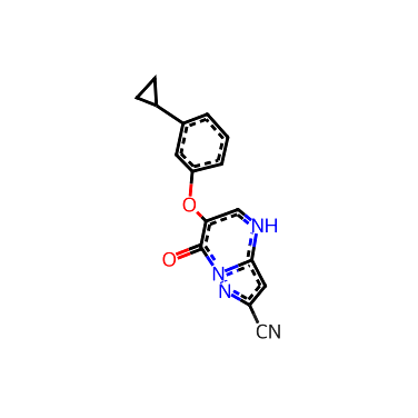 N#Cc1cc2[nH]cc(Oc3cccc(C4CC4)c3)c(=O)n2n1